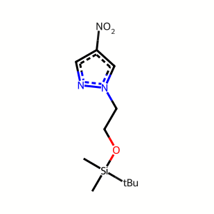 CC(C)(C)[Si](C)(C)OCCn1cc([N+](=O)[O-])cn1